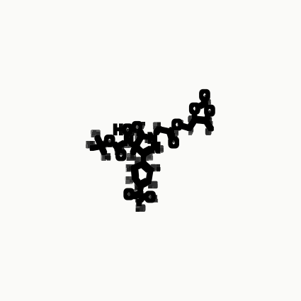 Cc1oc(=O)oc1COC(=O)CN1N=C(c2ccc(S(C)(=O)=O)cc2)C(C)(N(O)C(=O)OC(C)(C)C)C1=O